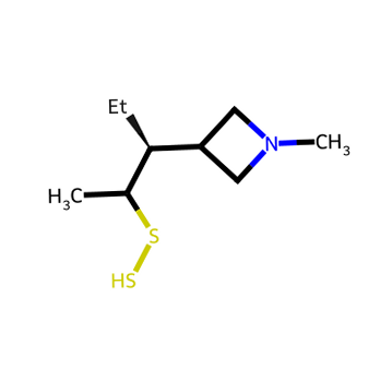 CC[C@@H](C1CN(C)C1)C(C)SS